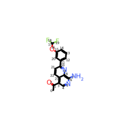 CC(=O)c1cnc(N)c2nc(-c3cccc(OC(F)F)c3)ccc12